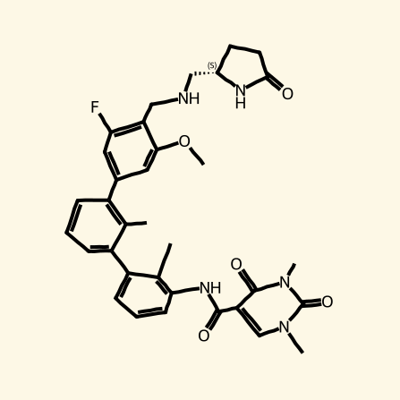 COc1cc(-c2cccc(-c3cccc(NC(=O)c4cn(C)c(=O)n(C)c4=O)c3C)c2C)cc(F)c1CNC[C@@H]1CCC(=O)N1